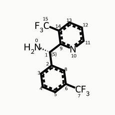 N[C@@H](c1cccc(C(F)(F)F)c1)c1ncccc1C(F)(F)F